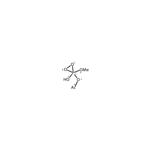 COP1(O)(OC(C)=O)OO1